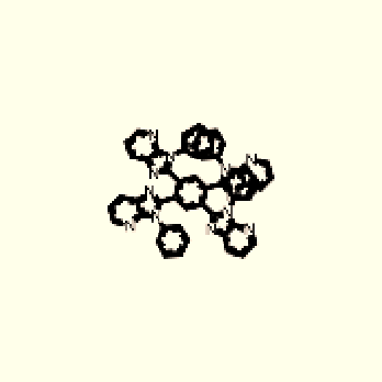 c1ccc(-n2c(-c3cc(-c4nc5cccnc5n4-c4ccccc4)c(-c4nc5cccnc5n4-c4ccccc4)cc3-c3nc4cccnc4n3-c3ccccc3)nc3cccnc32)cc1